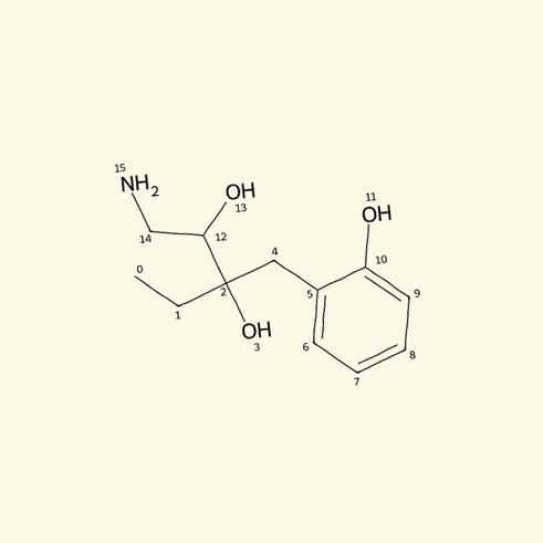 CCC(O)(Cc1ccccc1O)C(O)CN